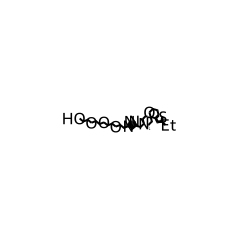 CCc1cc2c(s1)CCO[C@@]21CCN(Cc2cn(CCOCCOCCOCCO)nn2)[C@@H](C)C1